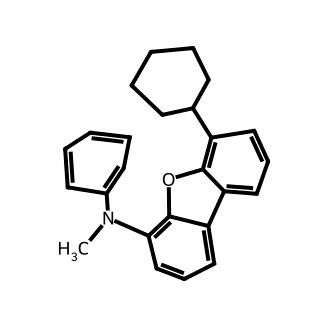 CN(c1ccccc1)c1cccc2c1oc1c(C3CCCCC3)cccc12